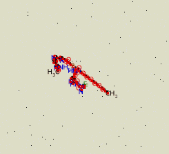 CCCCOCCOCCOCCOCCOCCOCCNC(=O)C(CSSCCOC(=O)OCc1ccc(-c2ccnc3ccc(-c4cnc(OC)c(N)c4)cc23)cn1)NC(=O)COc1ccc2nccc(C(=O)NCC(=O)N3CC(F)(F)C[C@H]3C#N)c2c1